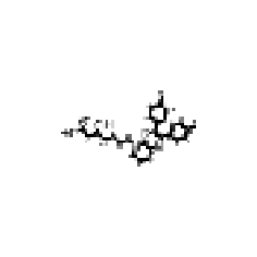 Cc1ccc(-c2nc3c(nc2-c2ccc(C)cc2)N(CCCCC(O)CC(=O)O)CCC3)cc1